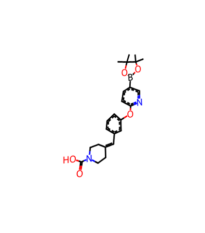 CC1(C)OB(c2ccc(Oc3cccc(C=C4CCN(C(=O)O)CC4)c3)nc2)OC1(C)C